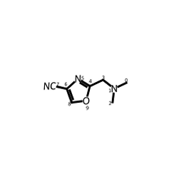 CN(C)Cc1nc(C#N)co1